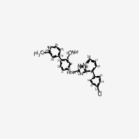 COc1cc(Nc2nc3c(-c4ccc(Cl)cc4)cccn3n2)ccc1-c1ccnc(C)c1